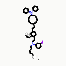 C=C/C=C\C=C\N(/C=C/c1ccc(/C=C/c2ccccc(N(c3ccccc3)c3ccccc3)cccc2)cc1/C=C\C)C1=CC=CC(I)C1